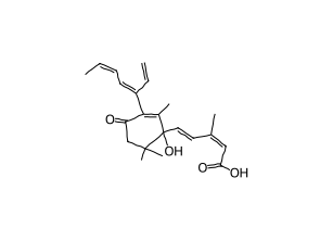 C=C/C(=C\C=C/C)C1=C(C)C(O)(/C=C/C(C)=C\C(=O)O)C(C)(C)CC1=O